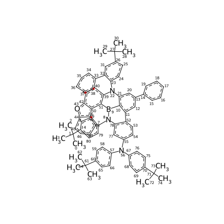 CC(C)(C)c1ccc(N2B3c4c(cc(-c5ccccc5)cc4N(c4ccc(C(C)(C)C)cc4-c4ccccc4)c4ccc5oc6ccccc6c5c43)-c3ccc(N(c4ccc(C(C)(C)C)cc4)c4ccc(C(C)(C)C)cc4)cc32)cc1